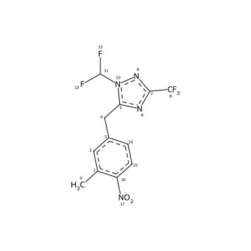 Cc1cc(Cc2nc(C(F)(F)F)nn2C(F)F)ccc1[N+](=O)[O-]